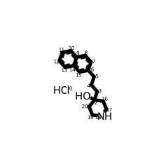 Cl.OC1(CCCc2ccc3ccccc3c2)CCNCC1